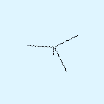 CCCCCCCCCCCCCCCCC[N+](CCCCC)(CCCCCCCCCCCCCCCCC)CCCCCCCCCCCCCCCCC